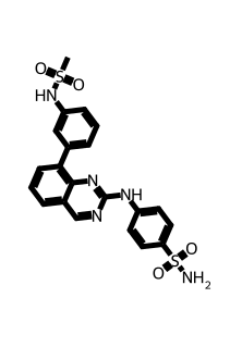 CS(=O)(=O)Nc1cccc(-c2cccc3cnc(Nc4ccc(S(N)(=O)=O)cc4)nc23)c1